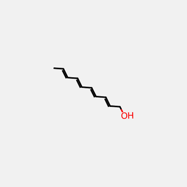 C/C=C/C=C/C=C/C=C/CO